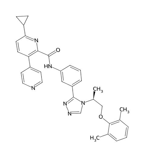 Cc1cccc(C)c1OC[C@H](C)n1cnnc1-c1cccc(NC(=O)c2nc(C3CC3)ccc2-c2ccncc2)c1